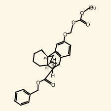 CCC(C)OC(=O)OCOc1ccc2c(c1)[C@@]13CCCC[C@H]1[C@@H](C2)N(C(=O)OCc1ccccc1)CC3